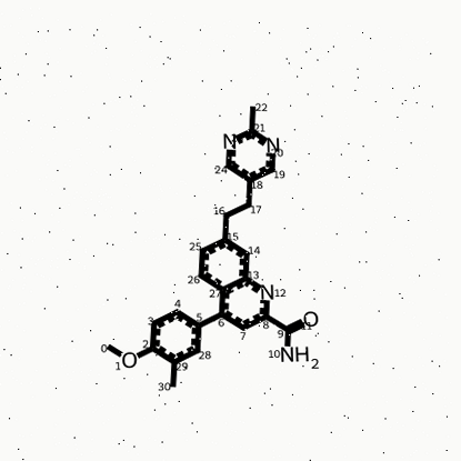 COc1ccc(-c2cc(C(N)=O)nc3cc(CCc4cnc(C)nc4)ccc23)cc1C